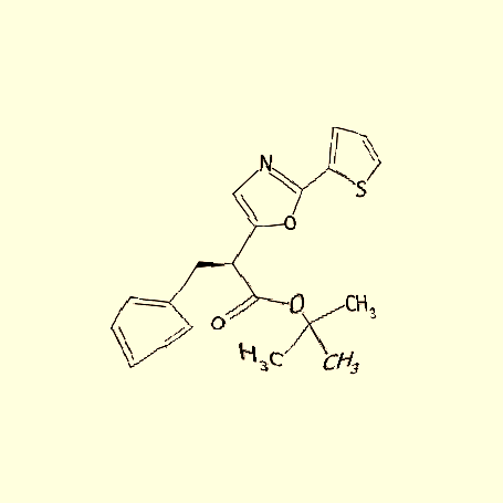 CC(C)(C)OC(=O)[C@@H](Cc1ccccc1)c1cnc(-c2cccs2)o1